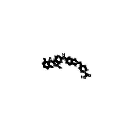 Cc1cccc(C)c1Nc1nn(C)c2nc(Nc3ccc4c(c3)CN(CC3CCN(C(=O)O)CC3)C4)ncc12